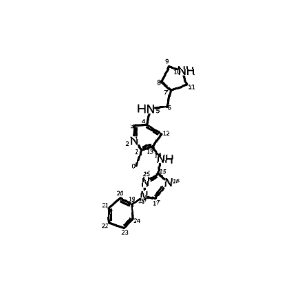 Cc1ncc(NCC2CCNC2)cc1Nc1ncn(-c2ccccc2)n1